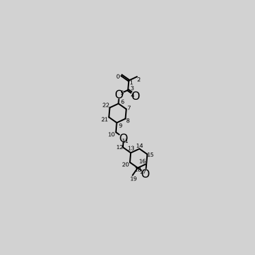 C=C(C)C(=O)OC1CCC(COCC2CCC3OC3(C)C2)CC1